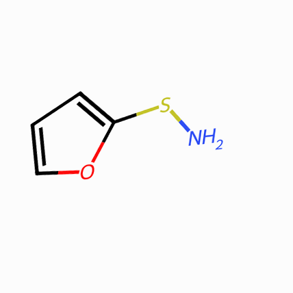 NSc1ccco1